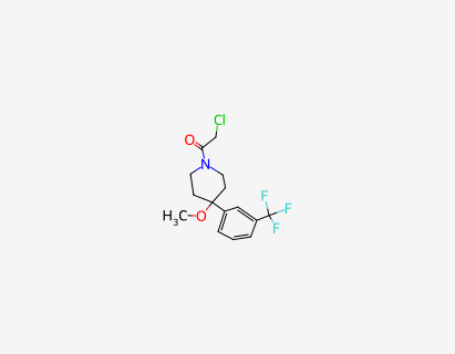 COC1(c2cccc(C(F)(F)F)c2)CCN(C(=O)CCl)CC1